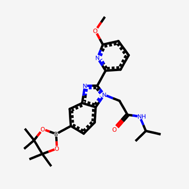 COc1cccc(-c2nc3cc(B4OC(C)(C)C(C)(C)O4)ccc3n2CC(=O)NC(C)C)n1